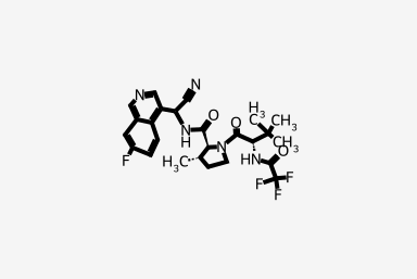 C[C@H]1CCN(C(=O)[C@@H](NC(=O)C(F)(F)F)C(C)(C)C)[C@@H]1C(=O)NC(C#N)c1cncc2cc(F)ccc12